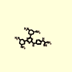 N=C(N)Nc1ccc(Nc2nc(N3C[C@H](N)C[C@H](N)C3)nc(N3C[C@H](N)C[C@H](N)C3)n2)cc1